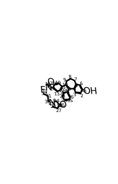 Oc1ccc2c(c1)CCCC(c1ccc3ncoc3c1)=C2c1ccc(O[C@H]2CCN(CCCF)C2)cc1